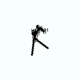 CCCCCCCCCCCCOCC(COCCCCCCCCCCCC)OC(=O)C1C=CS[C@H]2C(NC(=O)C(=NOC)c3csc(NC=O)n3)C(=O)N12